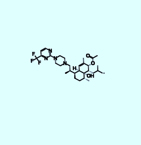 [CH2]C(C)C[C@H]1[C@@H](OC(C)=O)C(C)=C[C@@H]2[C@H]([C@@H](C)CN3CCN(c4nccc(C(F)(F)F)n4)CC3)CC[C@@H](C)[C@@]21O